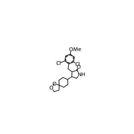 COc1cc(Cl)c(CC2C(=O)NCC2C2CCC3(CCOO3)CC2)c(Cl)c1